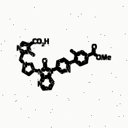 COC(=O)c1ccc(-c2ccc(-n3c(=O)n(C4CCN(Cc5ncc(C(=O)O)n5C)C4)c4ncccc43)cn2)c(C)c1